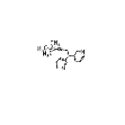 C[Si](C)(C)C#CCC(c1cccnc1)c1cccnc1